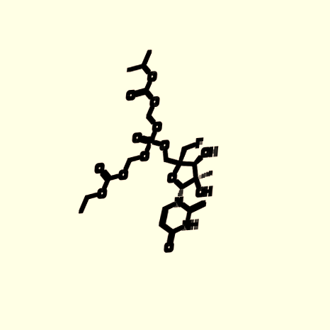 C=C1NC(=O)C=CN1[C@@H]1O[C@](CF)(COP(=O)(OCOC(=O)OCC)OCOC(=O)OC(C)C)[C@@H](O)[C@@]1(C)O